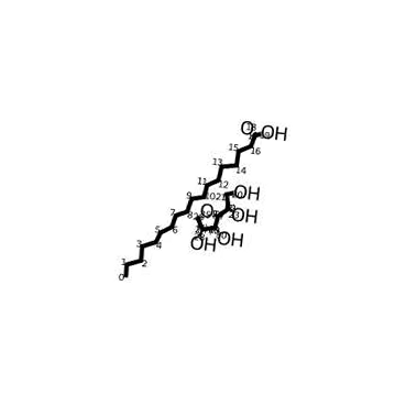 CCCCCCCCCCCCCCCCCC(=O)O.OC[C@@H](O)[C@H]1OC[C@H](O)[C@H]1O